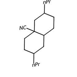 CCCC1CCC2(C#N)CC(CCC)CCC2C1